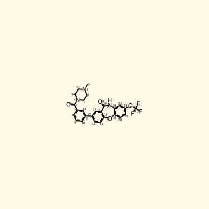 CN1CCN(C(=O)c2cccc(-c3ccc4c(c3)C(=O)Nc3cc(OC(F)(F)F)ccc3O4)c2)CC1